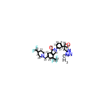 Cn1cnnc1CC1(c2cccc(N3Cc4c(cc(CN5CCC(C(F)F)CC5)cc4C(F)(F)F)C3=O)c2)COC1